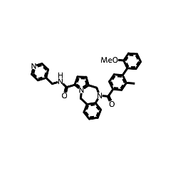 COc1ccccc1-c1ccc(C(=O)N2Cc3ccc(C(=O)NCc4ccncc4)n3Cc3ccccc32)cc1C